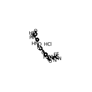 CC1(C)C(=O)N(c2cnc(C#N)c(C(F)(F)F)c2)N[SH]1c1ccc(OCC2CCN(CC(=O)Nc3cccc(NC4CCC(=O)NC4=O)c3)CC2)cc1.Cl